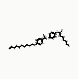 C=CCCCCCCCCOc1ccc(C(=O)Oc2ccc(O[C@@H](C)CCCCCC)cc2)cc1